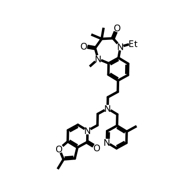 CCN1C(=O)C(C)(C)C(=O)N(C)c2cc(CCN(CCn3ccc4oc(C)cc4c3=O)Cc3cnccc3C)ccc21